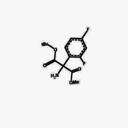 COC(=O)C(N)(C(=O)OC(C)(C)C)c1ccc(F)cc1F